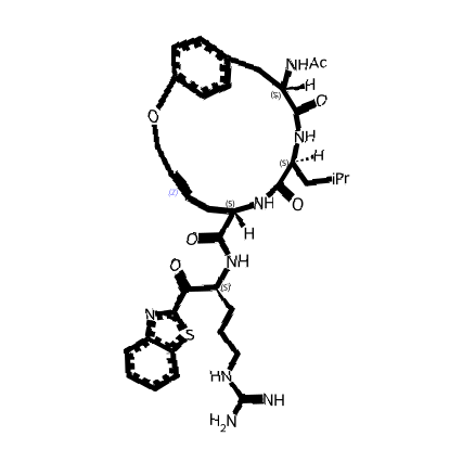 CC(=O)N[C@H]1Cc2ccc(cc2)OC/C=C\C[C@@H](C(=O)N[C@@H](CCCNC(=N)N)C(=O)c2nc3ccccc3s2)NC(=O)[C@H](CC(C)C)NC1=O